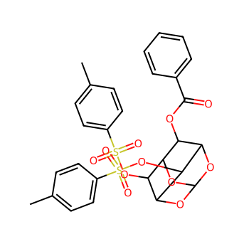 Cc1ccc(S(=O)(=O)OC2C3OC4OC(C3OC(=O)c3ccccc3)C(OS(=O)(=O)c3ccc(C)cc3)C2O4)cc1